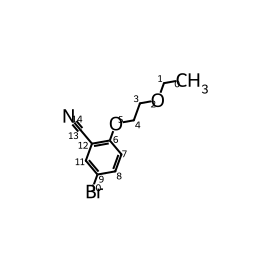 CCOCCOc1ccc(Br)cc1C#N